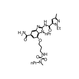 CCCN(C)S(=O)(=O)NCCCOc1cc(C(N)=O)cc2nc(NC(=O)c3cc(C)nn3CC)n(CCC)c12